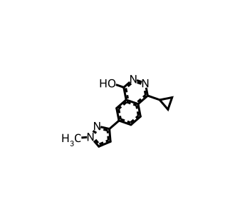 Cn1ccc(-c2ccc3c(C4CC4)nnc(O)c3c2)n1